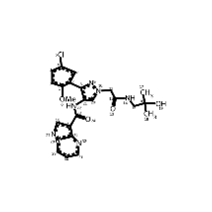 COc1ccc(Cl)cc1-c1nn(CC(=O)NCC(C)(C)O)cc1NC(=O)c1cnn2cccnc12